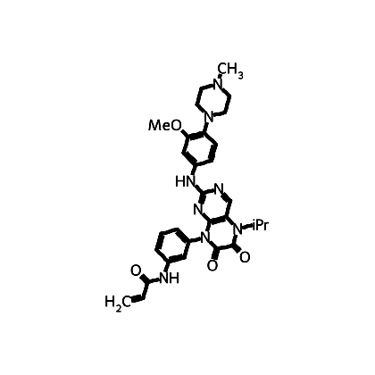 C=CC(=O)Nc1cccc(-n2c(=O)c(=O)n(C(C)C)c3cnc(Nc4ccc(N5CCN(C)CC5)c(OC)c4)nc32)c1